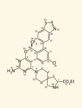 CCOC(=O)C1CC2(CCN(c3cc(O[C@H](c4ccc(Cl)cc4-c4ccc5scnc5c4)C(F)(F)F)nc(N)n3)CC2)CN1